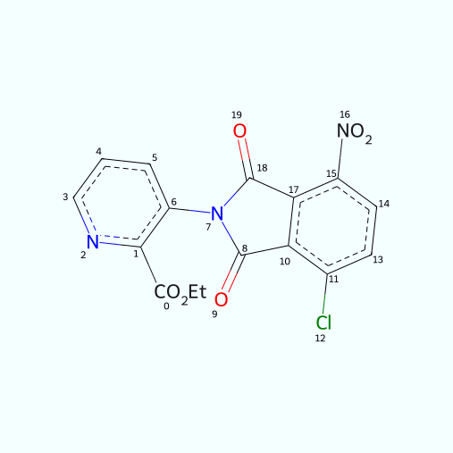 CCOC(=O)c1ncccc1N1C(=O)c2c(Cl)ccc([N+](=O)[O-])c2C1=O